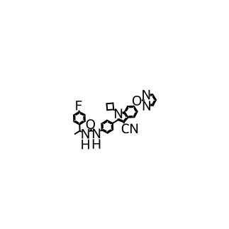 CC(NC(=O)Nc1ccc(-c2c(C#N)c3ccc(Oc4ncccn4)cc3n2C2CCC2)cc1)c1ccc(F)cc1